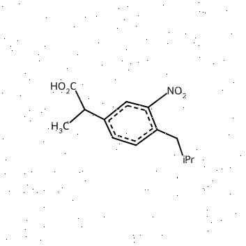 CC(C)Cc1ccc(C(C)C(=O)O)cc1[N+](=O)[O-]